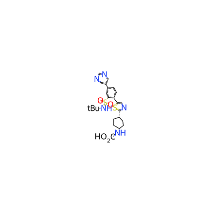 CC(C)(C)NS(=O)(=O)c1cc(-c2cncnc2)ccc1-c1cnc([C@H]2CC[C@H](NC(=O)O)CC2)s1